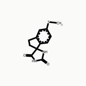 CSc1ccc2c(c1)CCC21NC(=O)NC1=O